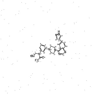 CC(C)(C)CN(C(=O)C(F)(F)F)c1cccc(N2CCN(c3ncnc4ccc(-c5cn[nH]c5)cc34)CC2)c1